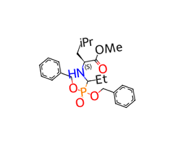 CCC(N[C@@H](CC(C)C)C(=O)OC)P(=O)(OCc1ccccc1)OCc1ccccc1